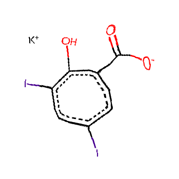 O=C([O-])c1cc(I)cc(I)c1O.[K+]